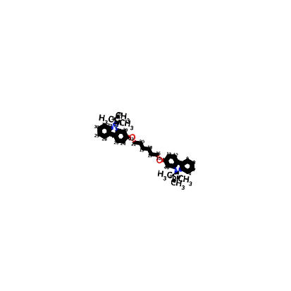 C[Si](C)(C)n1c2ccccc2c2ccc(OCCCCCCOc3ccc4c5ccccc5n([Si](C)(C)C)c4c3)cc21